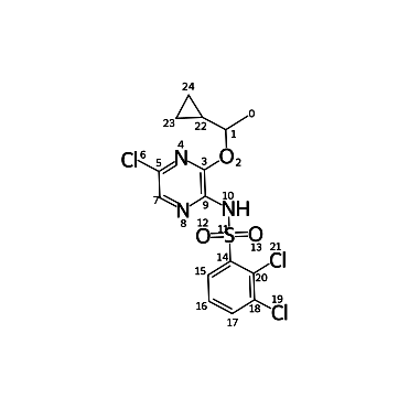 CC(Oc1nc(Cl)cnc1NS(=O)(=O)c1cccc(Cl)c1Cl)C1CC1